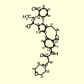 CN(C(=O)c1cc2c(s1)-c1ccc(NC(=O)CN3CCOCC3)cc1OCC2)c1ccccc1Cl